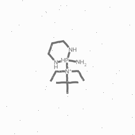 CC[N+](CC)(C(C)(C)C)[PH]1(N)NCCCN1